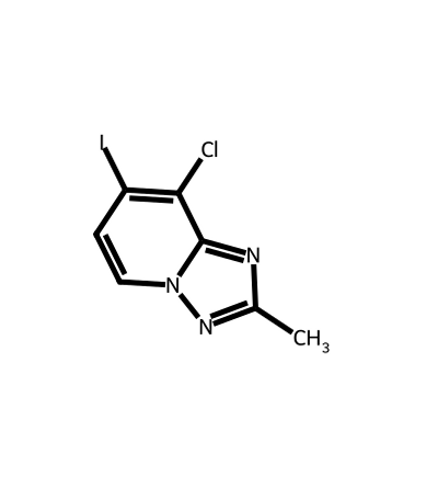 Cc1nc2c(Cl)c(I)ccn2n1